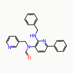 O=CN(Cc1cccnc1)c1ccc(-c2ccccc2)nc1NCc1ccccc1